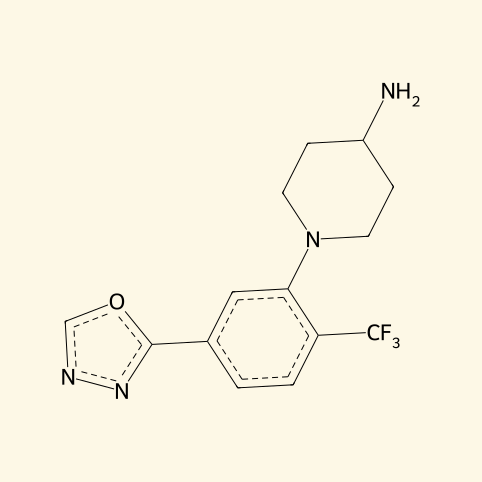 NC1CCN(c2cc(-c3nnco3)ccc2C(F)(F)F)CC1